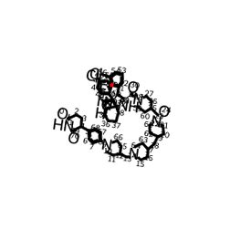 O=C1CCC(c2ccc(N3CCC(CN4CCC(CC5CCN(C(=O)C6CCN(C(=O)[C@@H]7NC8(CCCCC8)[C@@]8(C(=O)Nc9cc(Cl)ccc98)C7c7cccc(Cl)c7F)CC6)CC5)CC4)CC3)cc2)C(=O)N1